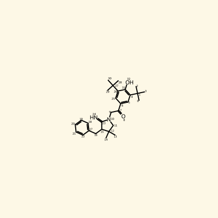 CC(C)(C)c1cc(C(=O)CN2CC(C)(C)C(Cc3ccccc3)C2=N)cc(C(C)(C)C)c1O